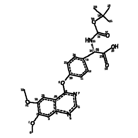 COc1cc2ncnc(Oc3ccc([C@H](NC(=O)OC(C)(C)C)C(=O)O)cc3)c2cc1OC